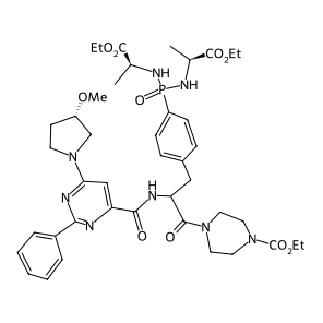 CCOC(=O)[C@H](C)NP(=O)(N[C@@H](C)C(=O)OCC)c1ccc(CC(NC(=O)c2cc(N3CC[C@H](OC)C3)nc(-c3ccccc3)n2)C(=O)N2CCN(C(=O)OCC)CC2)cc1